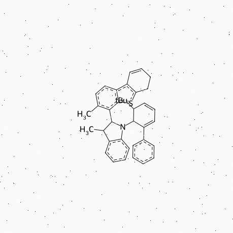 Cc1ccc2c3c(sc2c1C1C(C)c2ccccc2N1C1C(c2ccccc2)=CC=CC1C(C)(C)C)CCC=C3